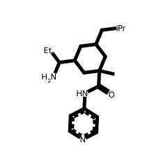 CCC(N)C1CC(CC(C)C)CC(C)(C(=O)Nc2ccncc2)C1